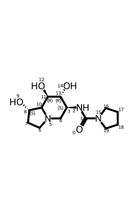 O=C(N[C@H]1CN2CC[C@H](O)C2[C@@H](O)[C@@H]1O)N1CCCC1